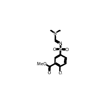 COC(=O)c1cc(S(=O)(=O)N=CN(C)C)ccc1Cl